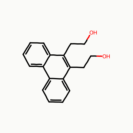 OCCc1c(CCO)c2ccccc2c2ccccc12